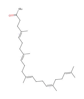 CC(C)=CCC/C(C)=C\CC/C=C(\C)CC/C=C(\C)CC/C=C(\C)CCC(=O)C(C)(C)C